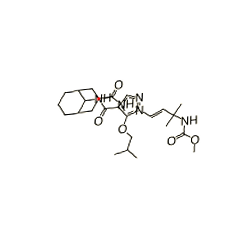 COC(=O)NC(C)(C)/C=C/n1ncc(C(=O)NC2C3CCCC2CC(C(N)=O)C3)c1OCC(C)C